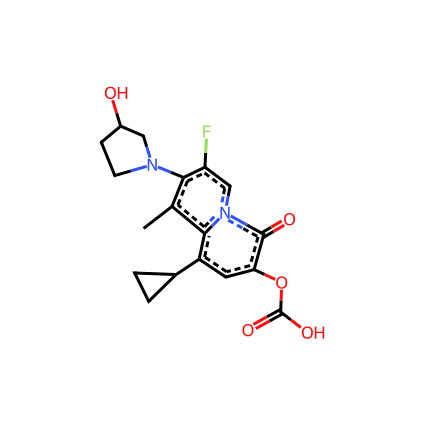 Cc1c(N2CCC(O)C2)c(F)cn2c(=O)c(OC(=O)O)cc(C3CC3)c12